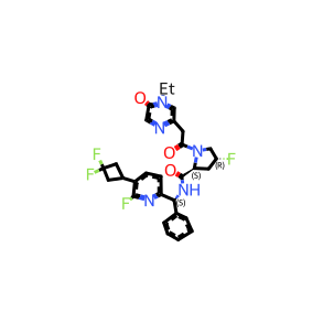 CCn1cc(CC(=O)N2C[C@H](F)C[C@H]2C(=O)N[C@@H](c2ccccc2)c2ccc(C3CC(F)(F)C3)c(F)n2)ncc1=O